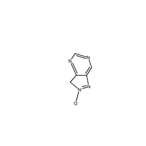 [O-][N+]1=Nc2cncnc2C1